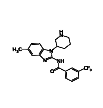 Cc1ccc2c(c1)nc(NC(=O)c1cccc(C(F)(F)F)c1)n2C1CCCNC1